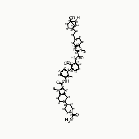 Cc1c(NC(=O)c2nc3c(n2C)CCN(C2CCN(C(N)=O)CC2)C3)cccc1-c1cccc(NC(=O)c2nc3c(n2C)CCN(CCC24CCC(C(=O)O)(CC2)C4)C3)c1Cl